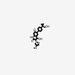 COc1cnn(-c2c(O)c3cc(-c4ccc(C5(CO)CC5)cc4)c(Cl)cc3[nH]c2=O)c1